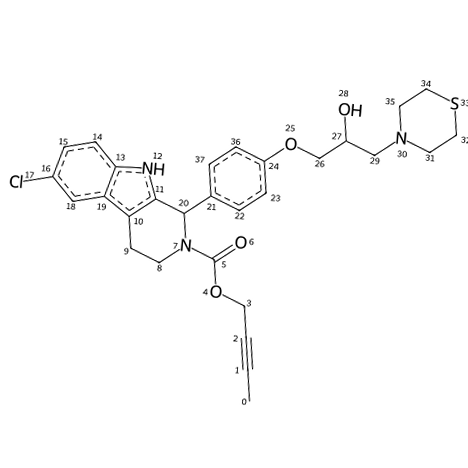 CC#CCOC(=O)N1CCc2c([nH]c3ccc(Cl)cc23)C1c1ccc(OCC(O)CN2CCSCC2)cc1